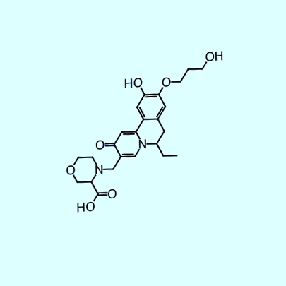 CCC1Cc2cc(OCCCO)c(O)cc2-c2cc(=O)c(CN3CCOCC3C(=O)O)cn21